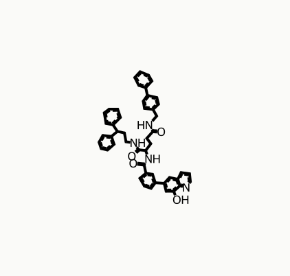 O=C(CCC(NC(=O)c1cccc(-c2cc(O)c3ncccc3c2)c1)C(=O)NCCC(c1ccccc1)c1ccccc1)NCc1ccc(-c2ccccc2)cc1